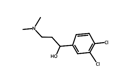 CN(C)CCC(O)c1ccc(Cl)c(Cl)c1